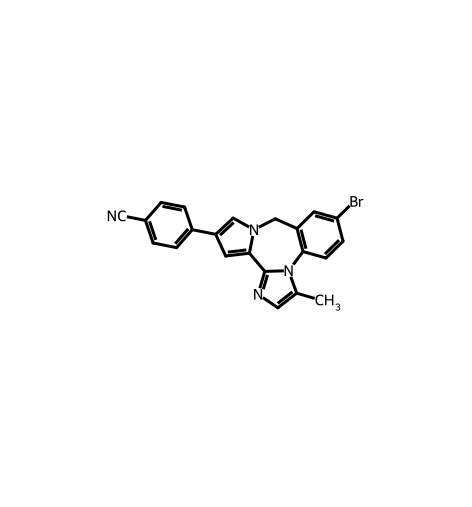 Cc1cnc2n1-c1ccc(Br)cc1Cn1cc(-c3ccc(C#N)cc3)cc1-2